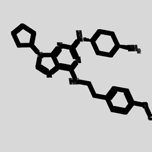 COc1ccc(CCNc2nc(N[C@H]3CC[C@H](N)CC3)nc3c2ncn3C2CCCC2)cc1